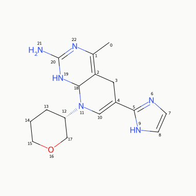 CC1=C2CC(c3ncc[nH]3)=CN([C@H]3CCCOC3)C2NC(N)=N1